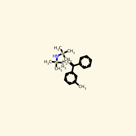 C=C(c1ccccc1)c1cccc(C)c1.C[Si](C)(C)N[Si](C)(C)C